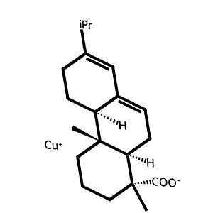 CC(C)C1=CC2=CC[C@@H]3[C@](C)(CCC[C@@]3(C)C(=O)[O-])[C@H]2CC1.[Cu+]